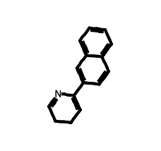 C1=NC(c2ccc3ccccc3c2)=CCC1